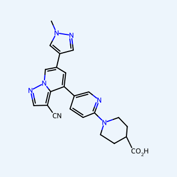 Cn1cc(-c2cc(-c3ccc(N4CCC(C(=O)O)CC4)nc3)c3c(C#N)cnn3c2)cn1